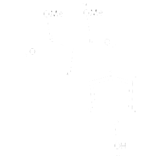 COC(=O)C(Cc1[c]ccc(O)c1)C(=O)OC